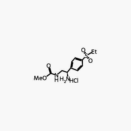 CCS(=O)(=O)c1ccc([C@@H](N)CNC(=O)OC)cc1.Cl